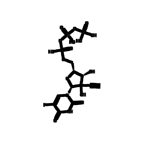 C#CC1(O)[C@@H](O)[C@@H](COP(=O)(O)OP(=O)(O)OP(=O)(O)O)O[C@H]1n1cc(F)c(=O)[nH]c1=O